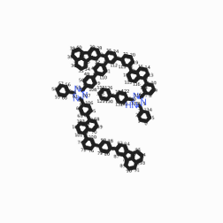 c1ccc(C2=NC(c3cccc(-c4cccc5c(-c6cccc(-c7ccc(-c8ccc9c(c8)-c8cccc%10cccc-9c8%10)c(-c8ccc(-c9ccc(-c%10nc(-c%11ccccc%11)nc(-c%11ccc(-c%12cccc%13c(-c%14cccc(-c%15ccc(-c%16ccc%17c(c%16)-c%16cccc%18cccc-%17c%16%18)cc%15)c%14)cccc%12%13)cc%11)n%10)cc9)cc8)c7)c6)cccc45)c3)=NC(c3ccc(-c4ccccc4)cc3)N2)cc1